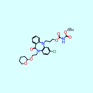 CC(C)(C)OC(=O)NC(=O)OCCCN1c2ccccc2C(=O)N(CCOC2CCCCO2)c2ccc(Cl)cc21